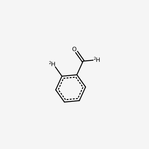 [2H]C(=O)c1ccccc1[2H]